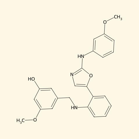 COc1cc(O)cc(CNc2ccccc2-c2cnc(Nc3cccc(OC)c3)o2)c1